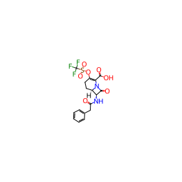 O=C(Cc1ccccc1)N[C@@H]1C(=O)N2C(C(=O)O)=C(OS(=O)(=O)C(F)(F)F)CC[C@H]12